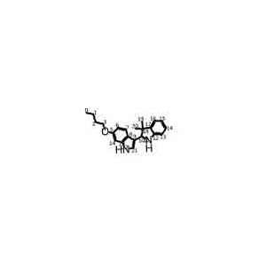 CCCCOc1ccc2c(C3Nc4ccccc4C3(C)C)c[nH]c2c1